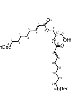 CCCCCCCCCCCCCCCC=CC(=O)OCC(CO)OC(=O)C=CCCCCCCCCCCCCCCC